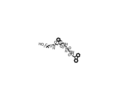 CC(C)(COCNC(=O)CNC(=O)[C@H](Cc1ccccc1)NC(=O)CNC(=O)CNC(=O)OCC1c2ccccc2-c2ccccc21)C(=O)O